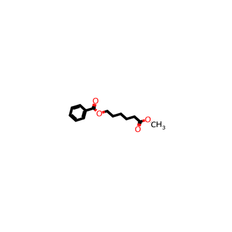 COC(=O)CCCCCOC(=O)c1ccccc1